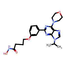 CC(C)n1cnc2c(N3CCOCC3)nc(-c3cccc(OCCCC(=O)NO)c3)nc21